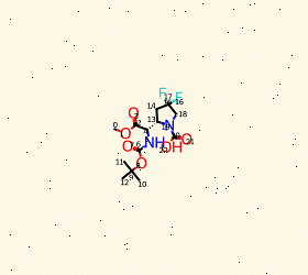 COC(=O)C(NC(=O)OC(C)(C)C)[C@@H]1CC(F)(F)CN1C(=O)O